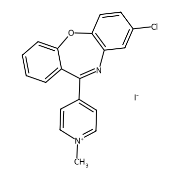 C[n+]1ccc(C2=Nc3cc(Cl)ccc3Oc3ccccc32)cc1.[I-]